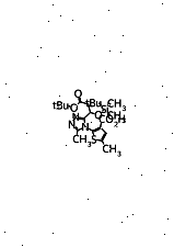 Cc1cc(C(=O)O)c(-n2c(C)nnc2C(CC(=O)OC(C)(C)C)O[Si](C)(C)C(C)(C)C)s1